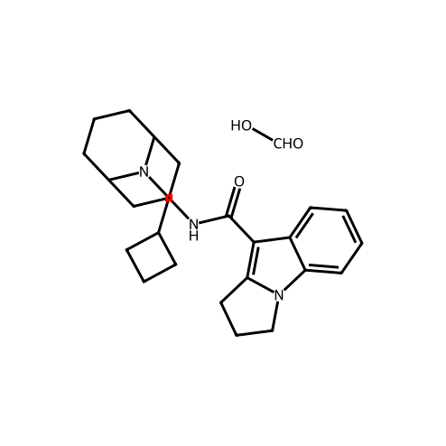 O=C(NC1CC2CCCC(C1)N2CC1CCC1)c1c2n(c3ccccc13)CCC2.O=CO